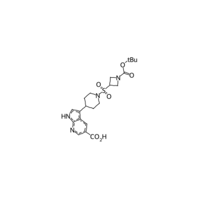 CC(C)(C)OC(=O)N1CC(S(=O)(=O)N2CCC(c3c[nH]c4ncc(C(=O)O)cc34)CC2)C1